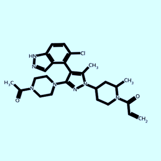 C=CC(=O)N1CCC(n2nc(N3CCN(C(C)=O)CC3)c(-c3c(Cl)ccc4[nH]ncc34)c2C)CC1C